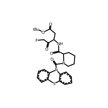 CC(C)(C)OC(=O)CC(NC(=O)C1CCCCN1C(=O)N1c2ccccc2Sc2ccccc21)C(=O)CF